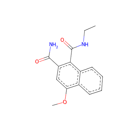 CCNC(=O)c1c(C(N)=O)cc(OC)c2ccccc12